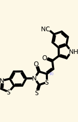 N#Cc1ccc2[nH]cc(C(=O)/C=C3/SC(=S)N(c4ccc5ncsc5c4)C3=O)c2c1